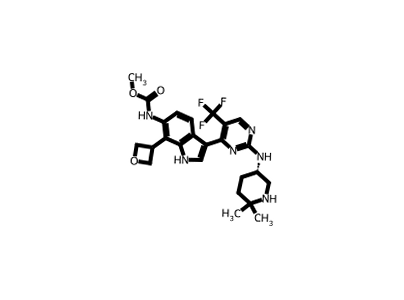 COC(=O)Nc1ccc2c(-c3nc(N[C@H]4CCC(C)(C)NC4)ncc3C(F)(F)F)c[nH]c2c1C1COC1